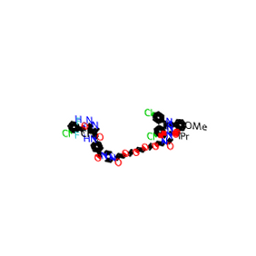 COc1ccc(C2=N[C@@H](c3ccc(Cl)cc3)[C@@H](c3ccc(Cl)cc3)N2C(=O)N2CCN(CCOCCOCCOCCOCCC(=O)N3CCN(C(=O)c4ccc(NC(=O)c5cnc(N)c(O[C@H](C)c6c(F)ccc(Cl)c6F)c5)cc4)CC3)C(=O)C2)c(OC(C)C)c1